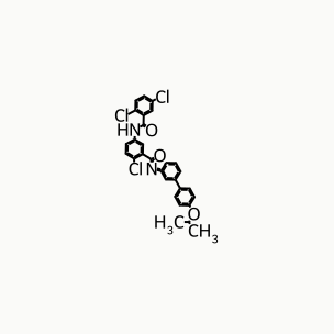 CC(C)Oc1ccc(-c2ccc3oc(-c4cc(NC(=O)c5cc(Cl)ccc5Cl)ccc4Cl)nc3c2)cc1